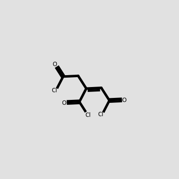 O=C(Cl)C=C(CC(=O)Cl)C(=O)Cl